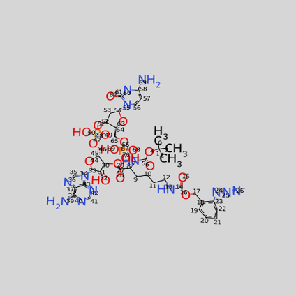 CC(C)(C)OC(=O)NC(CCCCNC(=O)OCc1ccccc1N=[N+]=[N-])C(=O)O[C@H]1[C@@H](O)[C@H](n2cnc3c(N)ncnc32)O[C@@H]1COP(=O)(O)O[C@H]1C[C@H](n2ccc(N)nc2=O)O[C@H]1COP(=O)(O)O